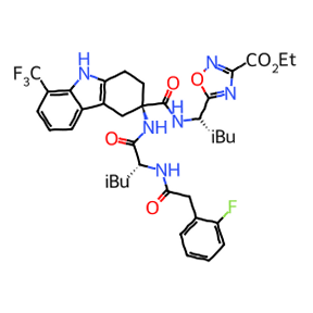 CCOC(=O)c1noc(C(NC(=O)[C@@]2(NC(=O)[C@H](NC(=O)Cc3ccccc3F)C(C)CC)CCc3[nH]c4c(C(F)(F)F)cccc4c3C2)[C@@H](C)CC)n1